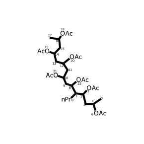 CCCC(C(CC(C)OC(C)=O)OC(C)=O)C(CC(CC(CC(CC(C)OC(C)=O)OC(C)=O)OC(C)=O)OC(C)=O)OC(C)=O